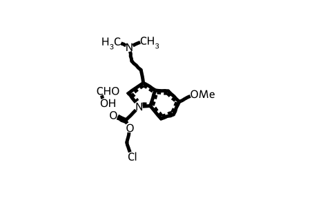 COc1ccc2c(c1)c(CCN(C)C)cn2C(=O)OCCl.O=CO